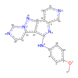 COc1ccc(Nc2nc3cnccc3c3nn4cnccc4c23)cc1